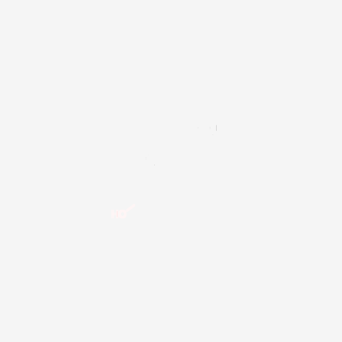 O=C(O)c1cccc(CCO)c1C(=O)O